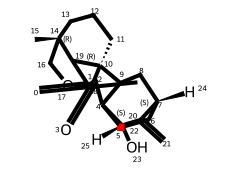 C=C1C(=O)C23CC[C@@H](CC2[C@@]24CCC[C@@](C)(COC2)C14)C(=C)[C@@H]3O